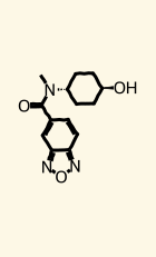 CN(C(=O)c1ccc2nonc2c1)[C@H]1CC[C@H](O)CC1